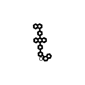 c1ccc2c(-c3ccc(-c4c5ccccc5c(-c5ccc(-c6ccc7oc8ccc9ccccc9c8c7c6)cc5)c5ccccc45)cc3)cccc2c1